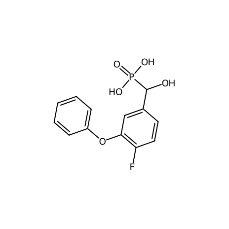 O=P(O)(O)C(O)c1ccc(F)c(Oc2ccccc2)c1